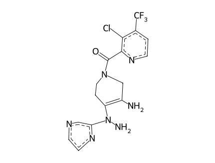 NC1=C(N(N)c2cnccn2)CCN(C(=O)c2nccc(C(F)(F)F)c2Cl)C1